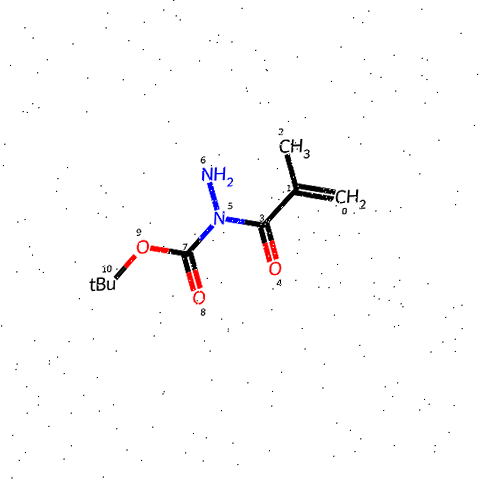 C=C(C)C(=O)N(N)C(=O)OC(C)(C)C